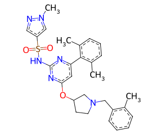 Cc1ccccc1CN1CCC(Oc2cc(-c3c(C)cccc3C)nc(NS(=O)(=O)c3cnn(C)c3)n2)C1